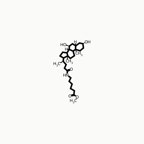 COC(=O)CCCCCNC(=O)CC[C@@H](C)C1CCC2[C@H]3C(CC[C@@]21C)[C@@]1(C)CC[C@@H](O)C[C@H]1C[C@@H]3O